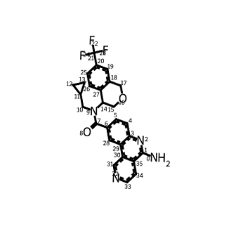 Nc1nc2ccc(C(=O)N(CC3CC3)C3COCc4cc(C(F)(F)F)ccc43)cc2c2cnccc12